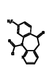 Cc1ccc2c(c1)N(C(=O)Cl)c1ncccc1CC2=O